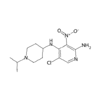 CC(C)N1CCC(Nc2c(Cl)cnc(N)c2[N+](=O)[O-])CC1